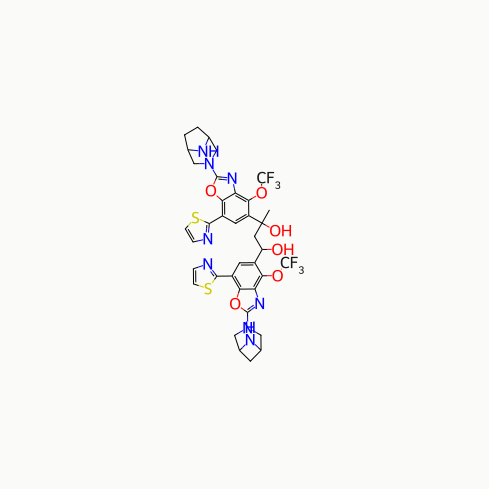 CC(O)(CC(O)c1cc(-c2nccs2)c2oc(N3CC4CC(C3)N4)nc2c1OC(F)(F)F)c1cc(-c2nccs2)c2oc(N3CC4CCC(C3)N4)nc2c1OC(F)(F)F